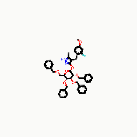 COc1ccc(Cc2c(O[C@@H]3O[C@H](COCc4ccccc4)[C@@H](OCc4ccccc4)[C@H](OCc4ccccc4)[C@H]3OCc3ccccc3)n[nH]c2C)c(F)c1